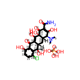 CN(C)[C@@H]1C(O)=C(C(N)=O)C(=O)[C@@]2(O)C(O)=C3C(=O)c4c(O)ccc(Cl)c4[C@@](C)(O)[C@H]3C[C@@H]12.O=P(O)(O)O